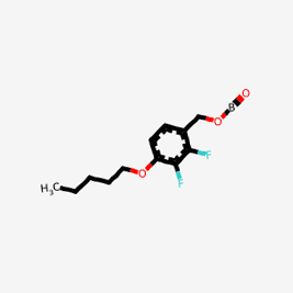 CCCCCOc1ccc(COB=O)c(F)c1F